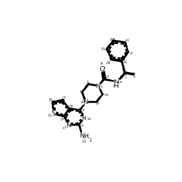 CC(NC(=O)N1CCN(c2nc(N)nc3sccc23)CC1)c1ccccc1